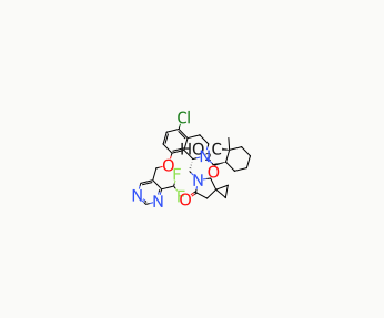 C[C@]1(C(=O)O)CCCC[C@H]1C(=O)N1CCc2c(Cl)ccc(OCc3cncnc3C(F)F)c2[C@H]1CN1CC2(CC2)CC1=O